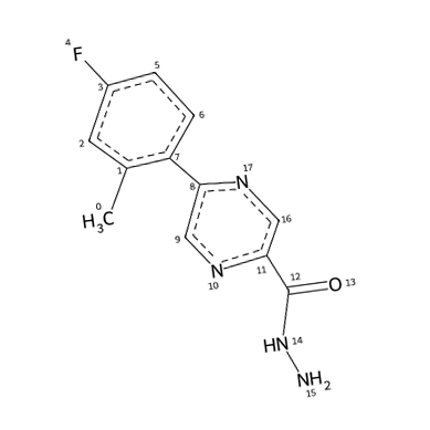 Cc1cc(F)ccc1-c1cnc(C(=O)NN)cn1